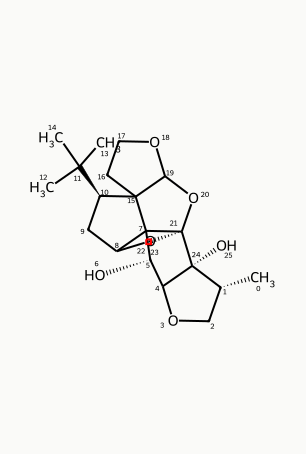 C[C@@H]1COC2[C@H](O)C34C5C[C@@H](C(C)(C)C)C36CCOC6O[C@@]4(CO5)[C@]21O